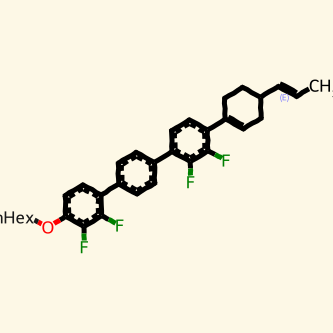 C/C=C/C1CC=C(c2ccc(-c3ccc(-c4ccc(OCCCCCC)c(F)c4F)cc3)c(F)c2F)CC1